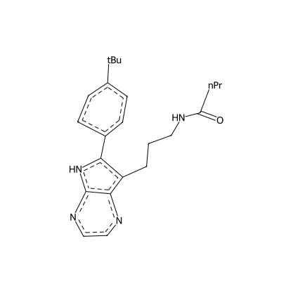 CCCC(=O)NCCCc1c(-c2ccc(C(C)(C)C)cc2)[nH]c2nccnc12